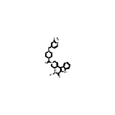 CC(C)NC(=O)c1[nH]c2ccccc2c1C1=CCN(C(=O)C2CCN(Cc3ccnc(N)c3)CC2)CC1